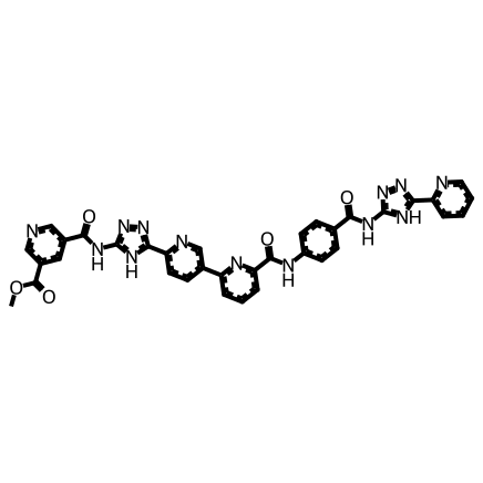 COC(=O)c1cncc(C(=O)Nc2nnc(-c3ccc(-c4cccc(C(=O)Nc5ccc(C(=O)Nc6nnc(-c7ccccn7)[nH]6)cc5)n4)cn3)[nH]2)c1